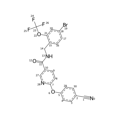 N#Cc1ccc(Oc2ccc(C(=O)NCc3ccc(Br)cc3OC(F)(F)F)cn2)cc1